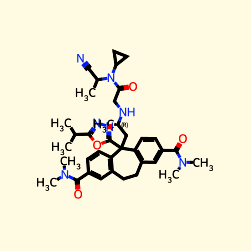 CC(C)c1nnc(C2(C[C@@H](C)NCC(=O)N(C(C)C#N)C3CC3)c3ccc(C(=O)N(C)C)cc3CCc3cc(C(=O)N(C)C)ccc32)o1